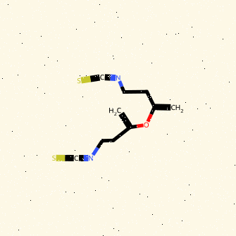 C=C(CCN=C=S)OC(=C)CCN=C=S